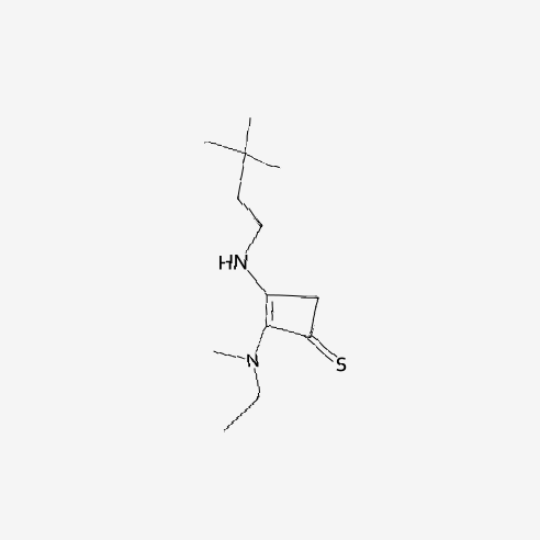 CCN(C)C1=C(NCCC(C)(C)C)CC1=S